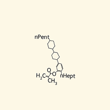 C=C(C)C(=O)Oc1cc(C2CCC(C3CCC(CCCCC)CC3)CC2)ccc1CCCCCCC